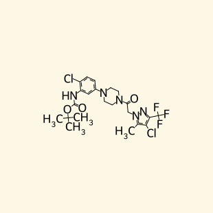 Cc1c(Cl)c(C(F)(F)F)nn1CC(=O)N1CCN(c2ccc(Cl)c(NC(=O)OC(C)(C)C)c2)CC1